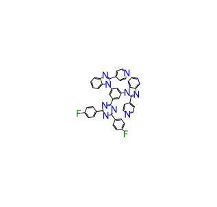 Fc1ccc(-c2nc(-c3ccc(F)cc3)nc(-c3cc(-n4c(-c5ccncc5)nc5ccccc54)cc(-n4c(-c5ccncc5)nc5ccccc54)c3)n2)cc1